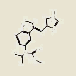 COC(=O)N(c1ccc2c(c1)/C(=C/C1CNC=N1)CCO2)C(C)C